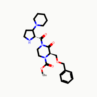 CC(C)(C)OC(=O)N1CCN(C(=O)[C@@H]2NCCC2N2CCCCC2)C(=O)[C@H]1COCc1ccccc1